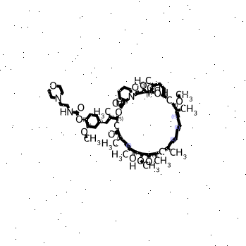 COC1C(=O)[C@H](C)C[C@H](C)/C=C/C=C/C=C(\C)[C@@H](OC)C[C@@H]2CCC(C)[C@@](O)(O2)C(=O)C(=O)N2CCCC[C@H]2C(=O)O[C@H]([C@H](C)C[C@@H]2CC[C@@H](OC(=O)NCCN3CCOCC3)[C@H](OC)C2)CC(=O)[C@@H](C)/C=C(\C)[C@H]1O